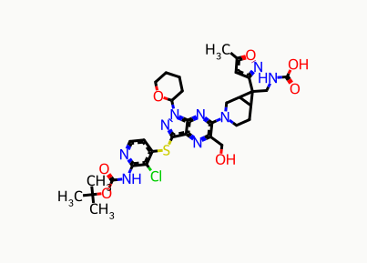 Cc1cc(C2(CNC(=O)O)C3CCN(c4nc5c(nc4CO)c(Sc4ccnc(NC(=O)OC(C)(C)C)c4Cl)nn5C4CCCCO4)CC32)no1